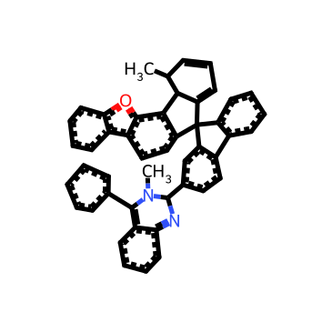 CC1C=CC=C2C1c1c(ccc3c1oc1ccccc13)C21c2ccccc2-c2ccc(C3N=c4ccccc4=C(c4ccccc4)N3C)cc21